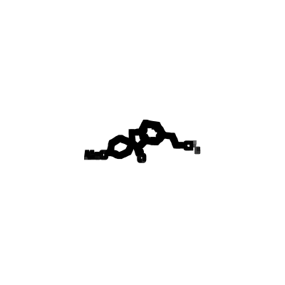 COC1CCC2(CC1)Cc1ccc(CCC(F)(F)F)cc1C2=O